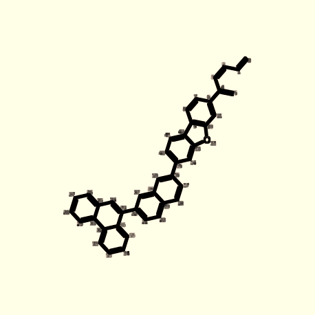 C=C/C=C\C(=C)c1ccc2c(c1)oc1cc(-c3ccc4ccc(-c5cc6ccccc6c6ccccc56)cc4c3)ccc12